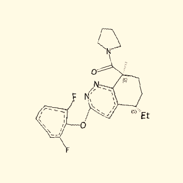 CC[C@H]1CC[C@](C)(C(=O)N2CCCC2)c2nnc(Oc3c(F)cccc3F)cc21